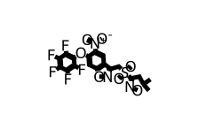 CC1(C)CC(S(=O)(=O)Cc2noc3cc(Oc4c(F)c(F)c(F)c(F)c4F)c([N+](=O)[O-])cc23)=NO1